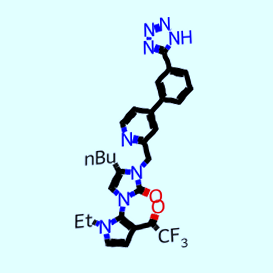 CCCCc1cn(-c2c(C(=O)C(F)(F)F)ccn2CC)c(=O)n1Cc1cc(-c2cccc(-c3nnn[nH]3)c2)ccn1